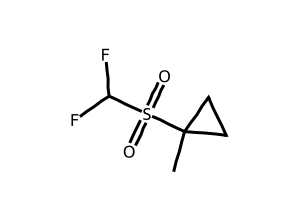 CC1(S(=O)(=O)C(F)F)CC1